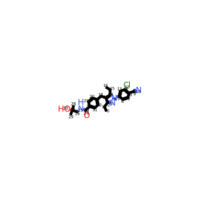 CCc1nn(-c2ccc(C#N)c(Cl)c2)c(CC)c1Cc1ccc(C(=O)NCC(C)(C)O)cc1